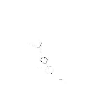 COCCOC12CCC(c3ccc(OC/C(=C/F)CN)cc3)(CC1)CC2.Cl